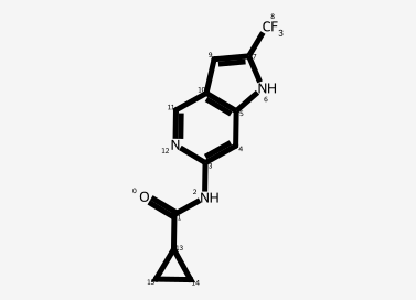 O=C(Nc1cc2[nH]c(C(F)(F)F)cc2cn1)C1CC1